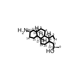 C[C@@H](O)[C@H]1CC[C@H]2[C@@H]3CC[C@H]4C[C@H](N)CC[C@]4(C)[C@H]3CC[C@]12C